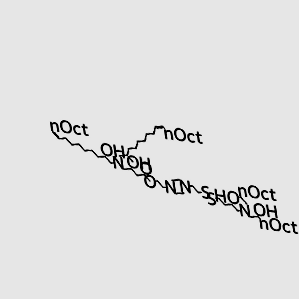 CCCCCCCC/C=C\CCCCCC[C@@H](O)CN(CCCC(=O)OCCN1CCN(CCSSCCCCN(CC(O)CCCCCCCC)CC(O)CCCCCCCC)CC1)C[C@H](O)CCCCCC/C=C\CCCCCCCC